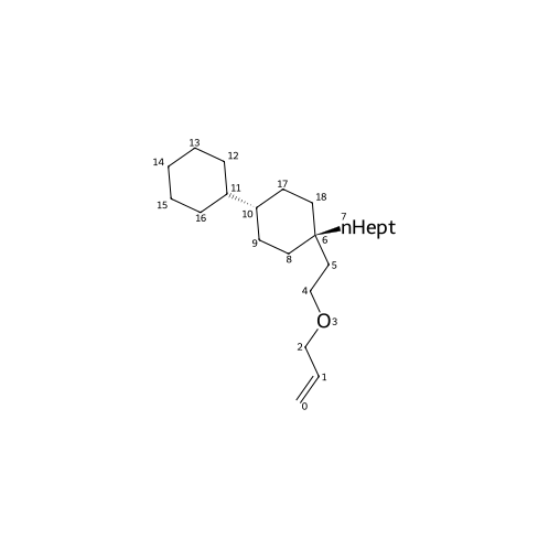 C=CCOCC[C@]1(CCCCCCC)CC[C@H](C2CCCCC2)CC1